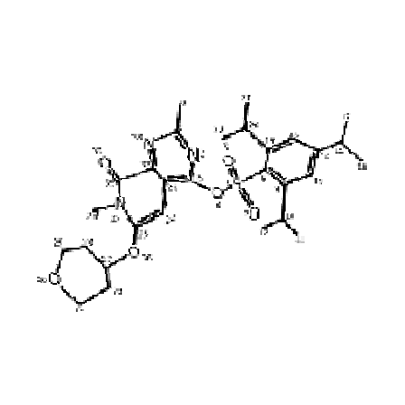 Cc1nc(OS(=O)(=O)c2c(C(C)C)cc(C(C)C)cc2C(C)C)c2cc(OC3CCOCC3)n(C)c(=O)c2n1